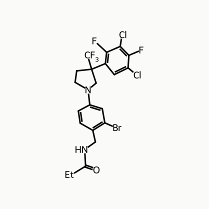 CCC(=O)NCc1ccc(N2CCC(c3cc(Cl)c(F)c(Cl)c3F)(C(F)(F)F)C2)cc1Br